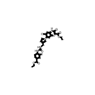 CCOC(=O)c1ccc(NC(=O)NCc2ccn(-c3cc4nc(C(=O)OCC)c(=O)[nH]c4cc3Cl)c2)c(F)c1